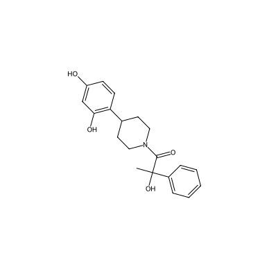 CC(O)(C(=O)N1CCC(c2ccc(O)cc2O)CC1)c1ccccc1